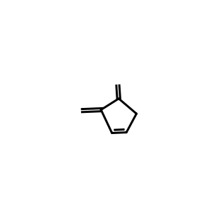 C=C1C=CCC1=C